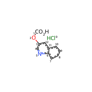 Cl.O=C(O)Oc1cnc2ccccc2c1